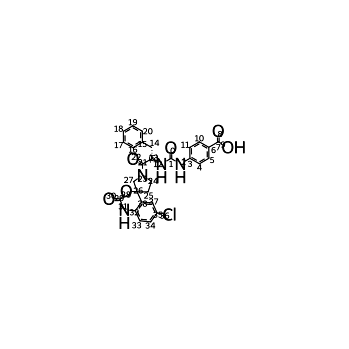 O=C(Nc1ccc(C(=O)O)cc1)N[C@@H](Cc1ccccc1)C(=O)N1CCC2(C1)OC(=O)Nc1ccc(Cl)cc12